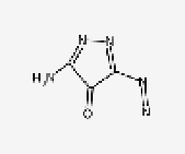 [N]=NC1=NN=C(N)C1=O